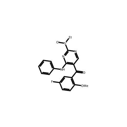 CC[S+]([O-])c1ncc(C(=O)c2cc(F)ccc2OC)c(Nc2ccccc2)n1